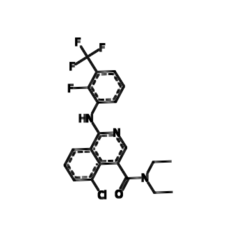 CCN(CC)C(=O)c1cnc(Nc2cccc(C(F)(F)F)c2F)c2cccc(Cl)c12